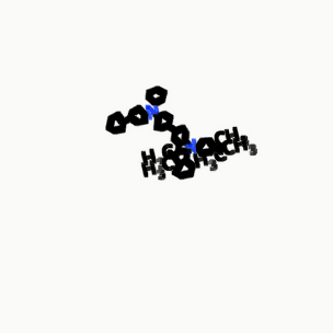 CC(C)(C)c1ccc(-n2c3c(c4cc(-c5ccc(N(c6ccccc6)c6ccc(-c7ccccc7)cc6)cc5)ccc42)C(C)(C)c2ccccc2-3)cc1